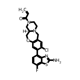 C=CC(=O)N1CCN2Cc3cc(Cl)c(-c4ccc(F)c5sc(N)nc45)cc3OC[C@H]2C1